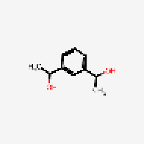 CC(O)c1[c]ccc(C(C)O)c1